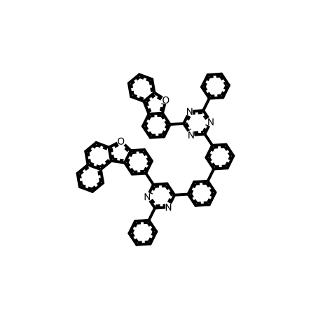 c1ccc(-c2nc(-c3cccc(-c4cccc(-c5nc(-c6ccccc6)nc(-c6cccc7c6oc6ccccc67)n5)c4)c3)cc(-c3ccc4oc5ccc6ccccc6c5c4c3)n2)cc1